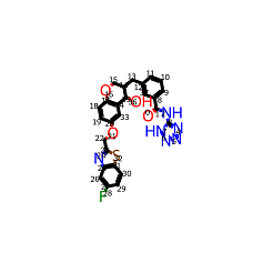 O=C(Nc1nnn[nH]1)c1cccc(CC2COc3ccc(OCc4nc5cc(F)ccc5s4)cc3C2O)c1